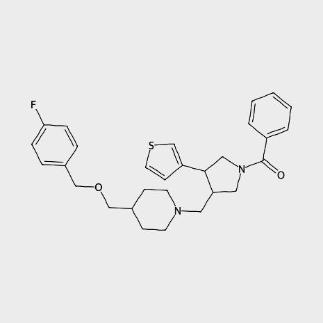 O=C(c1ccccc1)N1CC(CN2CCC(COCc3ccc(F)cc3)CC2)C(c2ccsc2)C1